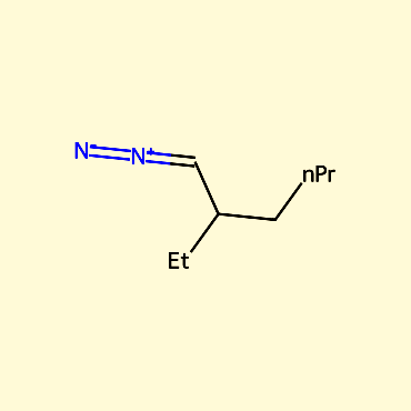 CCCCC(C=[N+]=[N-])CC